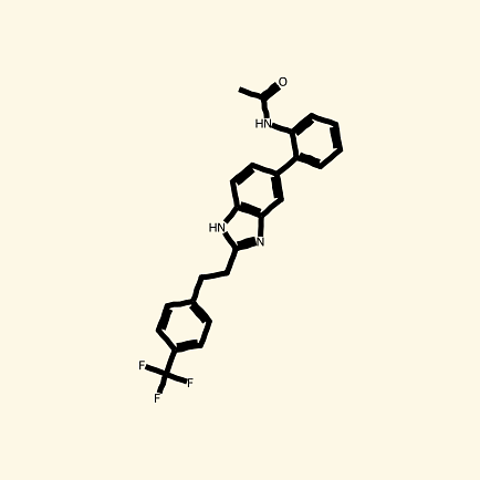 CC(=O)Nc1ccccc1-c1ccc2[nH]c(CCc3ccc(C(F)(F)F)cc3)nc2c1